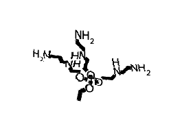 CC[O][Ti]([O]CCNCCN)([O]CCNCCN)[O]CCNCCN